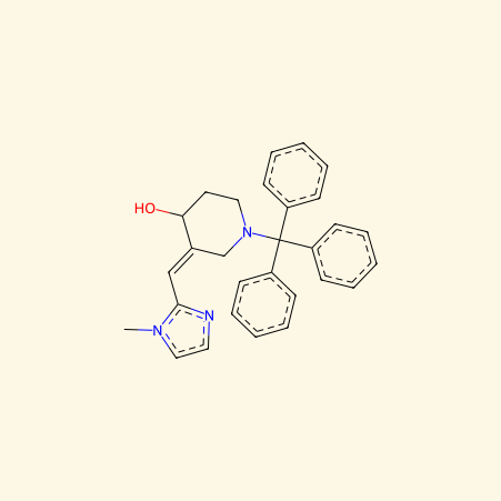 Cn1ccnc1/C=C1\CN(C(c2ccccc2)(c2ccccc2)c2ccccc2)CCC1O